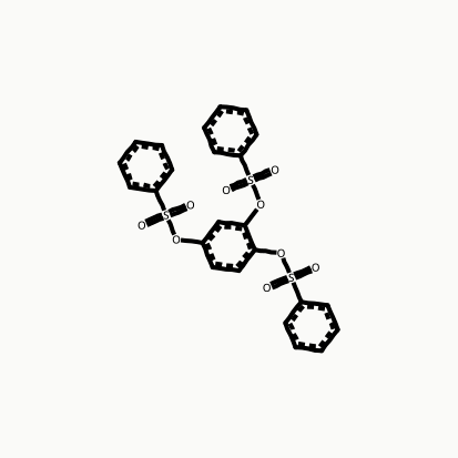 O=S(=O)(Oc1ccc(OS(=O)(=O)c2ccccc2)c(OS(=O)(=O)c2ccccc2)c1)c1ccccc1